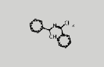 CC(=N[C@@H](C)c1ccccc1)c1ccccc1